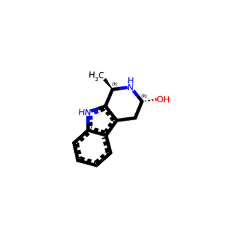 C[C@H]1N[C@H](O)Cc2c1[nH]c1ccccc21